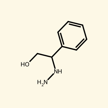 NNC(CO)c1ccccc1